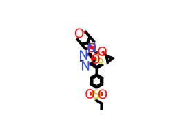 CCCS(=O)(=O)c1ccc(-c2csc3c(OC4C5COCC4CN(C(=O)OC4CC4)C5)ncnc23)cc1